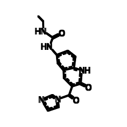 CCNC(=O)Nc1ccc2[nH]c(=O)c(C(=O)n3ccnc3)cc2c1